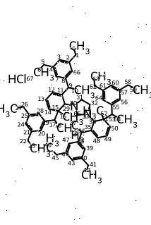 CCc1cc(CC)cc(C(C)C2=CC=CC(C)(C(C)c3cc(CC)cc(CC)c3)C2N2CCN(C3C(C(C)c4cc(CC)cc(CC)c4)=CC=CC3(C)C(C)c3cc(CC)cc(CC)c3)C2)c1.Cl